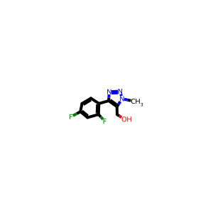 Cn1nnc(-c2ccc(F)cc2F)c1CO